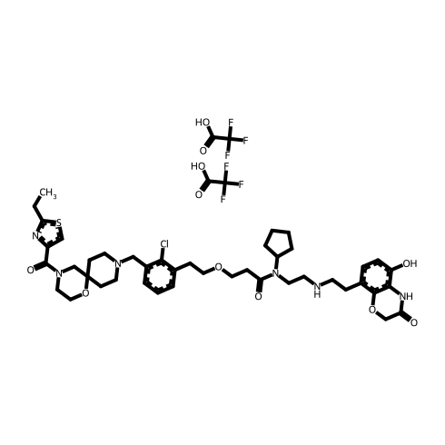 CCc1nc(C(=O)N2CCOC3(CCN(Cc4cccc(CCOCCC(=O)N(CCNCCc5ccc(O)c6c5OCC(=O)N6)C5CCCC5)c4Cl)CC3)C2)cs1.O=C(O)C(F)(F)F.O=C(O)C(F)(F)F